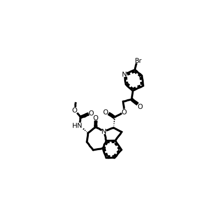 COC(=O)N[C@H]1CCc2cccc3c2N(C1=O)[C@H](C(=O)OCC(=O)c1ccc(Br)nc1)C3